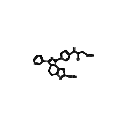 COCC(=O)Nc1ccc(-n2nc(-c3cccnc3)c3c2-c2sc(NC(C)=O)nc2CC3)cc1